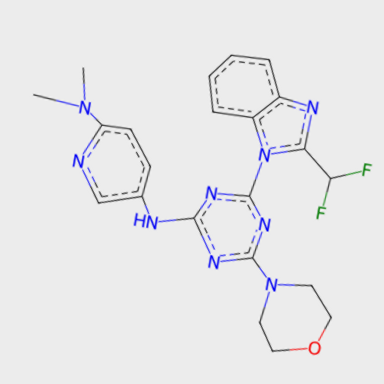 CN(C)c1ccc(Nc2nc(N3CCOCC3)nc(-n3c(C(F)F)nc4ccccc43)n2)cn1